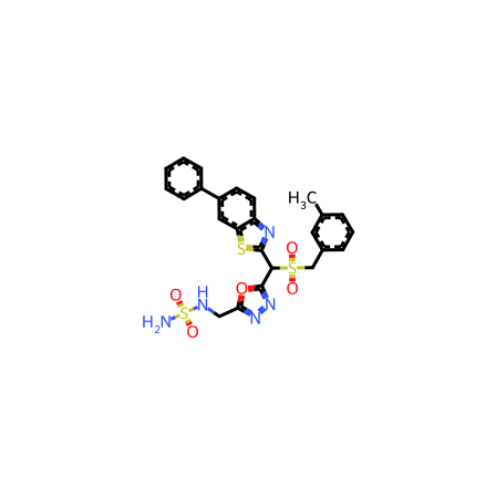 Cc1cccc(CS(=O)(=O)C(c2nnc(CNS(N)(=O)=O)o2)c2nc3ccc(-c4ccccc4)cc3s2)c1